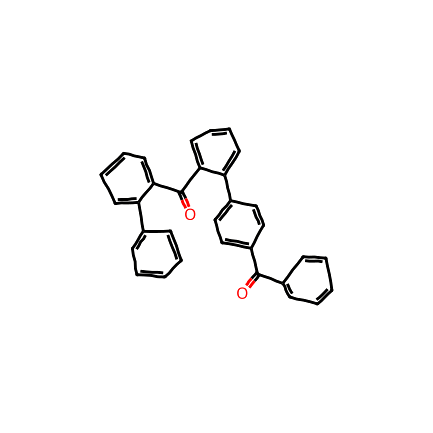 O=C(c1ccccc1)c1ccc(-c2ccccc2C(=O)c2ccccc2-c2ccccc2)cc1